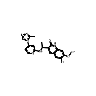 Cc1nnnn1-c1ccnc(NC(C)c2cc3cc(Cl)c(OC(C)C)cc3[nH]c2=O)c1